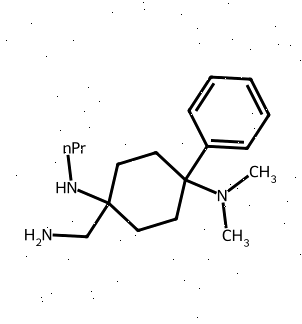 CCCNC1(CN)CCC(c2ccccc2)(N(C)C)CC1